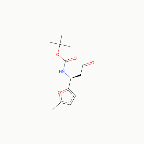 Cc1ccc([C@H](CC=O)NC(=O)OC(C)(C)C)o1